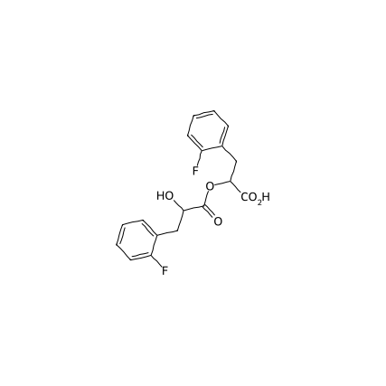 O=C(OC(Cc1ccccc1F)C(=O)O)C(O)Cc1ccccc1F